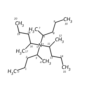 CCCC(C)[N+](C(C)CCC)(C(C)CCC)C(C)CCC